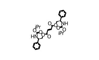 CC(C)OC(=O)N[C@@H](COC(=O)/C=C/C(=O)OC[C@H](NC(=O)OC(C)C)c1ccccc1)c1ccccc1